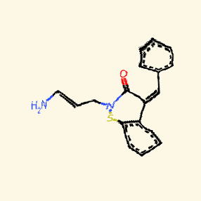 NC=CCN1Sc2ccccc2C(=Cc2ccccc2)C1=O